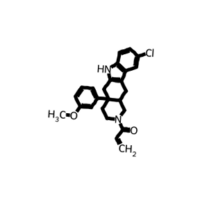 C=CC(=O)N1CCC2(c3cccc(OC)c3)Cc3[nH]c4ccc(Cl)cc4c3CC2C1